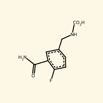 NC(=O)c1cc(CNC(=O)O)ccc1F